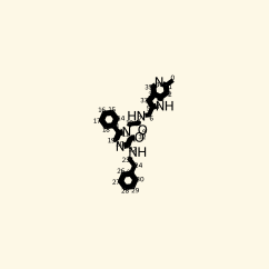 Cc1cc2[nH]c(CNC(=O)Cn3c(-c4ccccc4)cnc(NCCc4ccccc4)c3=O)cc2cn1